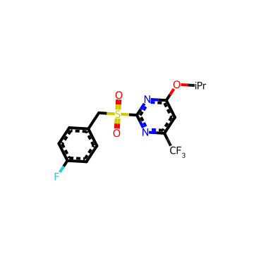 CC(C)Oc1cc(C(F)(F)F)nc(S(=O)(=O)Cc2ccc(F)cc2)n1